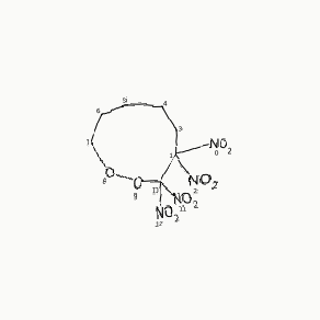 O=[N+]([O-])C1([N+](=O)[O-])CCCCCOOC1([N+](=O)[O-])[N+](=O)[O-]